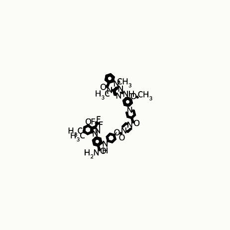 CCOc1cc(N2CCC(C(=O)N3CCN(C(=O)O[C@H]4CC[C@H](Nc5cc(-n6nc(C(F)(F)F)c7c6CC(C)(C)CC7=O)ccc5C(N)=O)CC4)CC3)CC2)ccc1Nc1ncc2c(n1)N(C)c1ccccc1C(=O)N2C